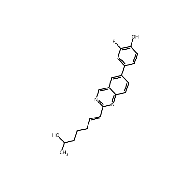 CC(O)CCCC=Cc1ncc2cc(-c3ccc(O)c(F)c3)ccc2n1